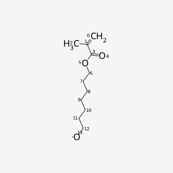 C=C(C)C(=O)OCCCCCCC[O]